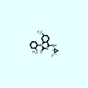 Cc1ccccc1-n1c(=O)nc(N[C@@H]2C[C@@H]2F)c2ccc(C(F)(F)F)cc21